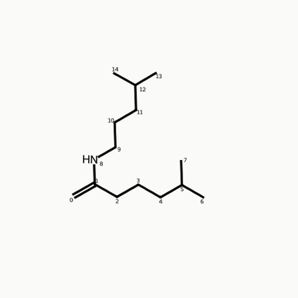 C=C(CCCC(C)C)NCCCC(C)C